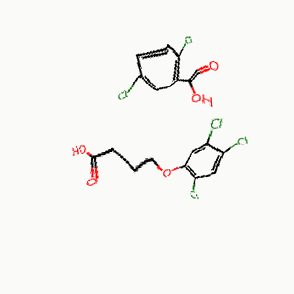 O=C(O)CCCOc1cc(Cl)c(Cl)cc1Cl.O=C(O)c1cc(Cl)ccc1Cl